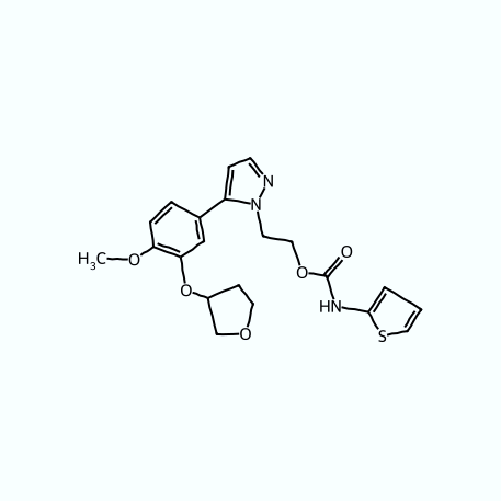 COc1ccc(-c2ccnn2CCOC(=O)Nc2cccs2)cc1OC1CCOC1